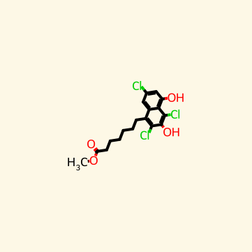 COC(=O)CCCCCCc1c(Cl)c(O)c(Cl)c2c(O)cc(Cl)cc12